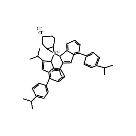 CC(C)C1=Cc2c(-c3ccc(C(C)C)cc3)cccc2[CH]1[Ti+2]1([CH]2C(C(C)C)=Cc3c(-c4ccc(C(C)C)cc4)cccc32)[CH]2CCCC[CH]21.[Cl-].[Cl-]